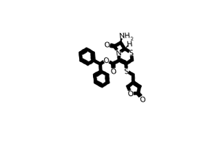 N[C@@H]1C(=O)N2C(C(=O)OC(c3ccccc3)c3ccccc3)=C(SCC3=CC(=O)OC3)CS[C@H]12